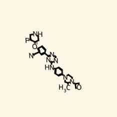 CC1CN(c2ccc(Nc3ncnc(-c4ccc(O[C@H]5CCNC[C@H]5F)c(C#N)c4)n3)cc2)CCN1C1COC1